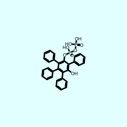 O=P(O)(O)OP(=O)(O)Oc1c(-c2ccccc2)c(O)c(-c2ccccc2)c(-c2ccccc2)c1-c1ccccc1